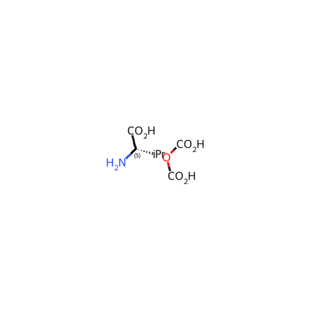 CC(C)[C@H](N)C(=O)O.O=C(O)OC(=O)O